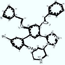 COc1ccc(C(C)C)cc1-c1cc(-c2nnnn2C2CCCNC2)c(OCc2ccccc2)cc1OCc1ccccc1